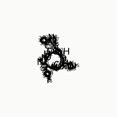 Cc1c2ccc(c1Cl)O[C@H](CN1CCN(C)CC1)COc1ccc(OCc3ccnc(-c4ccccc4C#N)n3)c(c1)C[C@H](C(=O)O)Oc1ncnc3sc(-c4ccc(F)cc4)c-2c13